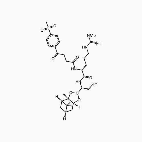 CNC(=N)NCCC[C@H](NC(=O)CCC(=O)c1ccc(S(C)(=O)=O)cc1)C(=O)N[C@@H](CC(C)C)B1O[C@@H]2C[C@@H]3C[C@@H](C3(C)C)[C@]2(C)O1